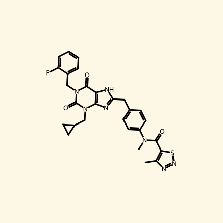 Cc1nnsc1C(=O)N(C)c1ccc(Cc2nc3c([nH]2)c(=O)n(Cc2ccccc2F)c(=O)n3CC2CC2)cc1